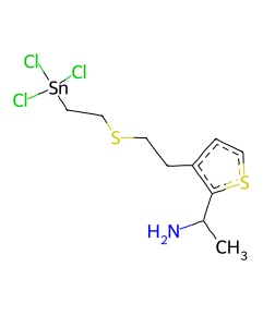 CC(N)c1sccc1CCSC[CH2][Sn]([Cl])([Cl])[Cl]